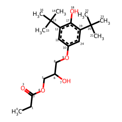 CCC(=O)OCC(O)COc1cc(C(C)(C)C)c(O)c(C(C)(C)C)c1